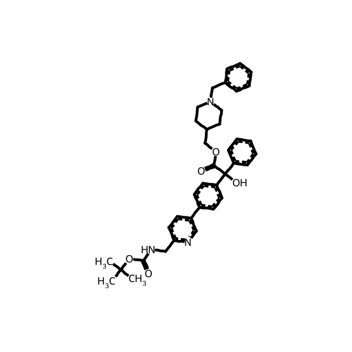 CC(C)(C)OC(=O)NCc1ccc(-c2ccc(C(O)(C(=O)OCC3CCN(Cc4ccccc4)CC3)c3ccccc3)cc2)cn1